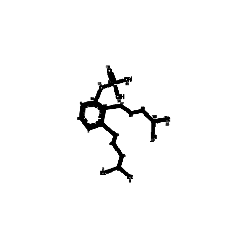 CCC(CC)CCCc1cccc(OP(=O)(O)O)c1CCCC(CC)CC